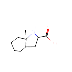 C[C@]12CCCCC1CC(C(=O)O)N2